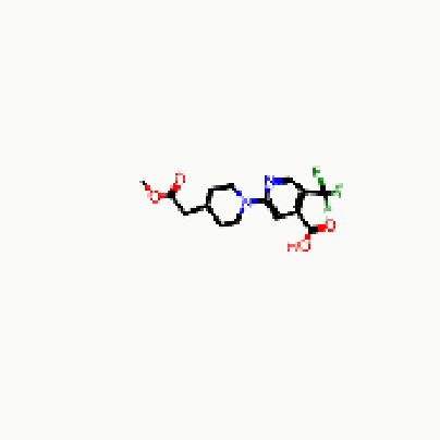 COC(=O)CC1CCN(c2cc(C(=O)O)c(C(F)(F)F)cn2)CC1